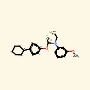 CCN(c1cccc(OC)c1)C(C)Oc1ccc(C2CCCCC2)cc1